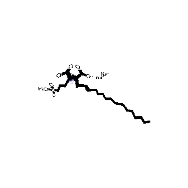 CCCCCCCCCCCCCCCC/C(C(=O)[O-])=C(\CCCS(=O)(=O)O)C(=O)[O-].[Na+].[Na+]